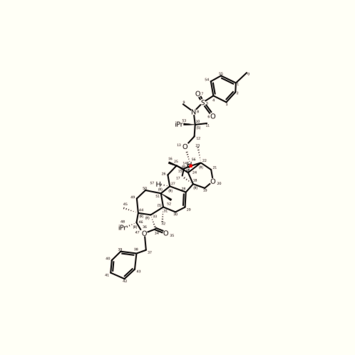 Cc1ccc(S(=O)(=O)N(C)[C@](C)(CO[C@H]2[C@H](C)C[C@@]34COC[C@@]2(C)[C@@H]3CC[C@H]2C4=CC[C@@]3(C)[C@H](C(=O)OCc4ccccc4)[C@@](C)([C@H](C)C(C)C)CC[C@]23C)C(C)C)cc1